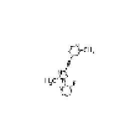 Cc1cc(C#Cc2cn(-c3ncccc3F)c(C)n2)ccn1